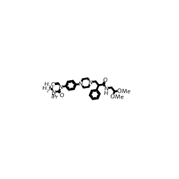 C=CN(C(=O)N(N)C(C)C)c1ccc(N2CCN(CC(C(=O)NCC(OC)OC)c3ccccc3)CC2)cc1